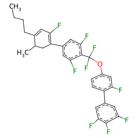 CCCCC1=CC(F)=C(c2cc(F)c(C(F)(F)Oc3ccc(-c4cc(F)c(F)c(F)c4)c(F)c3)c(F)c2)CC1C